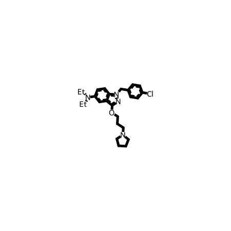 CCN(CC)c1ccc2c(c1)c(OCCCN1CCCC1)nn2Cc1ccc(Cl)cc1